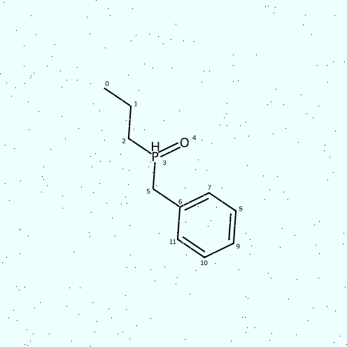 CCC[PH](=O)Cc1ccccc1